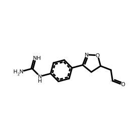 N=C(N)Nc1ccc(C2=NOC(C[C]=O)C2)cc1